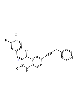 O=C1/C(=C\c2ccc(Cl)c(F)c2)[S+]([O-])Nc2ccc(C#CCc3ccncc3)cc21